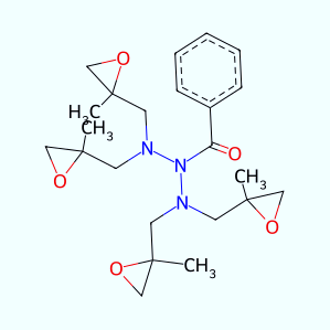 CC1(CN(CC2(C)CO2)N(C(=O)c2ccccc2)N(CC2(C)CO2)CC2(C)CO2)CO1